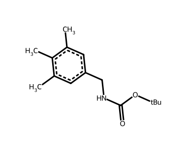 Cc1cc(CNC(=O)OC(C)(C)C)cc(C)c1C